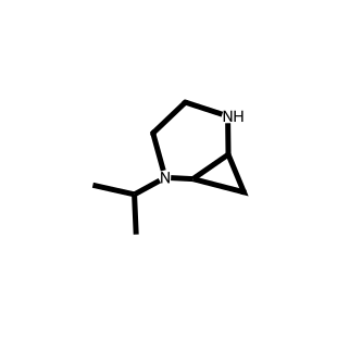 CC(C)N1CCNC2CC21